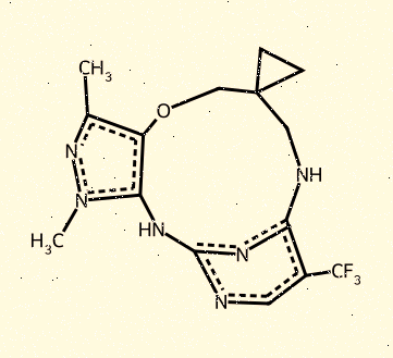 Cc1nn(C)c2c1OCC1(CC1)CNc1nc(ncc1C(F)(F)F)N2